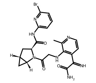 Cc1nccc(C(=N)C(N)=O)c1NCC(=O)N1[C@@H]2C[C@@H]2C[C@H]1C(=O)Nc1cccc(Br)n1